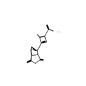 C=C(OC)C1C=C(C2=CC3C(=O)CC(=O)C23)C1C=O